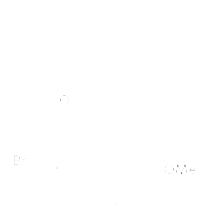 COc1ccc(Br)c(OC2CCCC2)c1